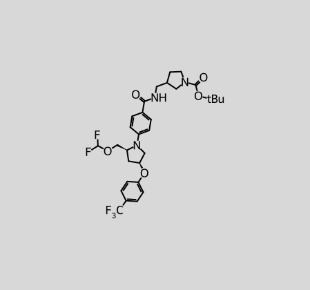 CC(C)(C)OC(=O)N1CCC(CNC(=O)c2ccc(N3C[C@@H](Oc4ccc(C(F)(F)F)cc4)C[C@H]3COC(F)F)cc2)C1